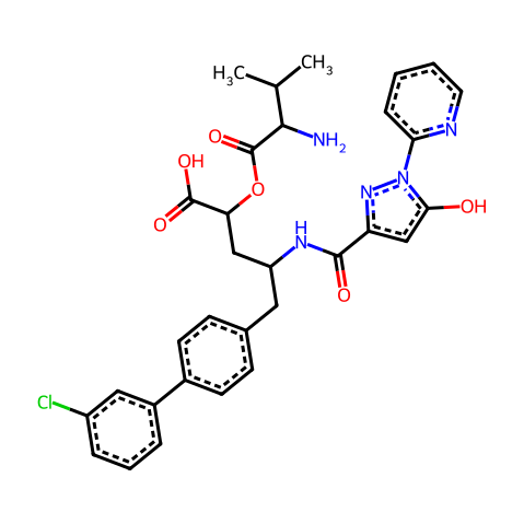 CC(C)C(N)C(=O)OC(CC(Cc1ccc(-c2cccc(Cl)c2)cc1)NC(=O)c1cc(O)n(-c2ccccn2)n1)C(=O)O